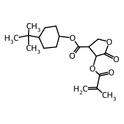 C=C(C)C(=O)OC1C(=O)OCC1C(=O)OC1CCC(C(C)(C)C)CC1